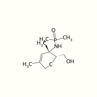 CC1=C[C@](C)(NP(C)(C)=O)[C@H](CO)CC1